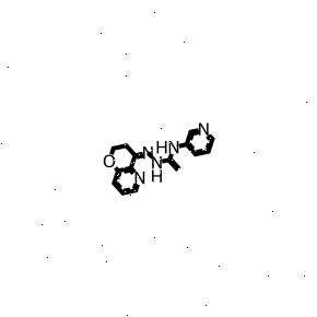 C=C(N/N=C1/CCOc2cccnc21)Nc1cccnc1